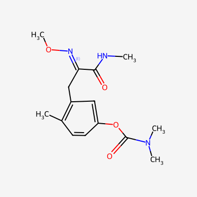 CNC(=O)/C(Cc1cc(OC(=O)N(C)C)ccc1C)=N/OC